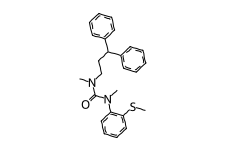 CSc1ccccc1N(C)C(=O)N(C)CCC(c1ccccc1)c1ccccc1